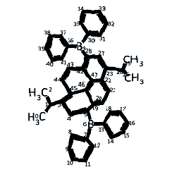 CC(C)c1cc(B(c2ccccc2)c2ccccc2)c2ccc3c(C(C)C)cc(B(c4ccccc4)c4ccccc4)c4ccc1c2c43